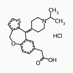 CC(C)N1CCC(=C2c3cc(CC(=O)O)ccc3OCc3ccsc32)CC1.Cl